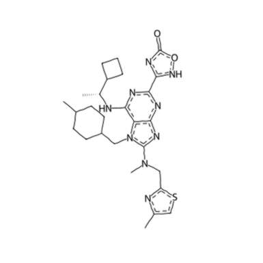 Cc1csc(CN(C)c2nc3nc(-c4nc(=O)o[nH]4)nc(N[C@H](C)C4CCC4)c3n2CC2CCC(C)CC2)n1